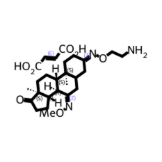 CO/N=C1/CC2C/C(=N\OCCN)CC[C@]2(C)[C@H]2CC[C@]3(C)C(=O)CC[C@H]3[C@H]12.O=C(O)/C=C/C(=O)O